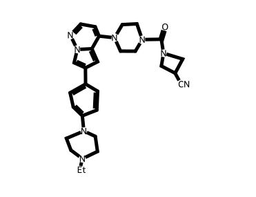 CCN1CCN(c2ccc(-c3cc4c(N5CCN(C(=O)N6CC(C#N)C6)CC5)ccnn4c3)cc2)CC1